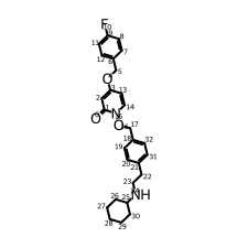 O=c1cc(OCc2ccc(F)cc2)ccn1OCc1ccc(CCNC2CCCCC2)cc1